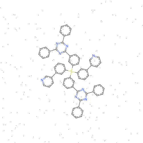 c1ccc(-c2nc(-c3ccccc3)nc(-c3cccc(S(c4cccc(-c5cccnc5)c4)(c4cccc(-c5cccnc5)c4)c4cccc(-c5nc(-c6ccccc6)nc(-c6ccccc6)n5)c4)c3)n2)cc1